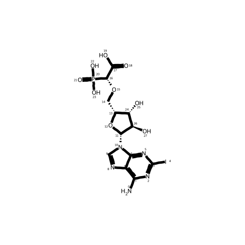 Nc1nc(I)nc2c1ncn2[C@@H]1O[C@H](CO[C@@H](C(=O)O)P(=O)(O)O)[C@H](O)[C@H]1O